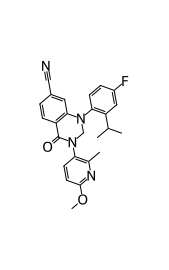 COc1ccc(N2CN(c3ccc(F)cc3C(C)C)c3cc(C#N)ccc3C2=O)c(C)n1